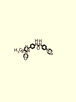 CSc1cnc(-c2ccc(NC(=O)Nc3ccc(N4CCSCC4)cc3)cc2)nc1N1CCOCC1